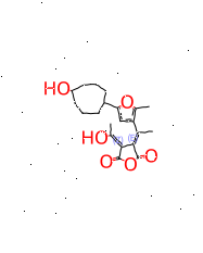 C/C(O)=C1/C(=O)OC(=O)/C1=C(\C)c1cc(C2CCCC(O)CCC2)oc1C